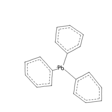 c1cc[c]([Pb]([c]2ccccc2)[c]2ccccc2)cc1